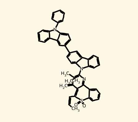 C=C(C)C1=C(/C=C\C)S(=O)(=O)c2ccccc2/C1=N/C(=C(C)C)n1c2ccccc2c2cc(-c3ccc4c(c3)c3ccccc3n4-c3ccccc3)ccc21